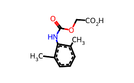 Cc1cccc(C)c1NC(=O)OCC(=O)O